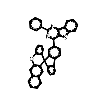 c1ccc(-c2nc(-c3ccc4c(c3)C3(c5ccccc5Oc5cc6ccccc6cc53)c3ccccc3-4)c3sc4ccccc4c3n2)cc1